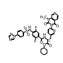 Cn1c(=O)n(-c2ccc(C[C@H](NC(=O)c3cc(F)c(NS(=O)(=O)c4ccc(-n5cncn5)cc4)cc3F)C(=O)OC3CCCCC3)cn2)c(=O)c2ccncc21